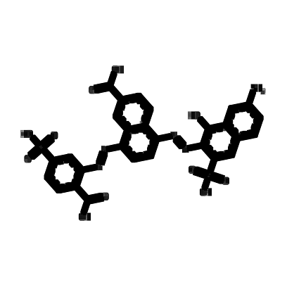 Nc1ccc2cc(S(=O)(=O)O)c(N=Nc3ccc(N=Nc4cc(S(=O)(=O)O)ccc4C(=O)O)c4cc(C(=O)O)ccc34)c(O)c2c1